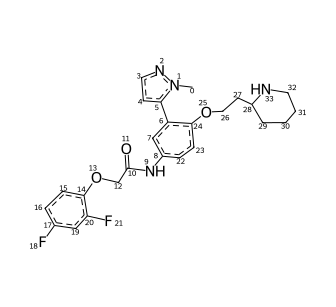 Cn1nccc1-c1cc(NC(=O)COc2ccc(F)cc2F)ccc1OCCC1CCCCN1